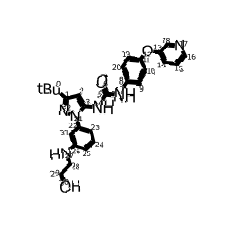 CC(C)(C)c1cc(NC(=O)Nc2ccc(Oc3cccnc3)cc2)n(-c2cccc(NCCO)c2)n1